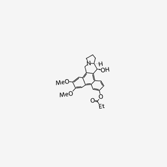 CCC(=O)Oc1ccc2c3c(c4cc(OC)c(OC)cc4c2c1)CN1CCC[C@H]1[C@H]3O